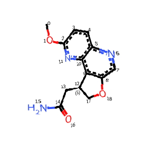 COc1ccc2ncc3c(c2n1)[C@H](CC(N)=O)CO3